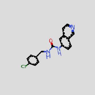 O=C(NCc1ccc(Cl)cc1)Nc1ccc2cnccc2c1